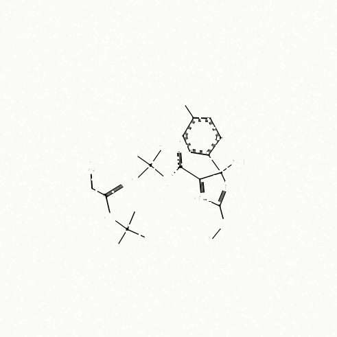 CC(C)(C)OC(=O)CBr.COC1=NC(N)(c2ccc(F)cc2)C(C(=O)OC(C)(C)C)=N1